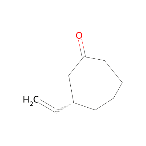 C=C[C@H]1CCCCC(=O)C1